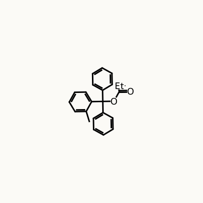 C[CH]C(=O)OC(c1ccccc1)(c1ccccc1)c1ccccc1C